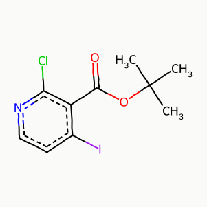 CC(C)(C)OC(=O)c1c(I)ccnc1Cl